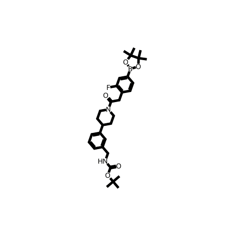 CC(C)(C)OC(=O)NCc1cccc(C2CCN(C(=O)Cc3ccc(B4OC(C)(C)C(C)(C)O4)cc3F)CC2)c1